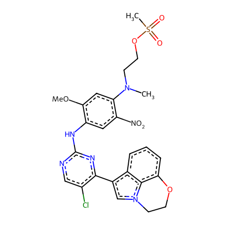 COc1cc(N(C)CCOS(C)(=O)=O)c([N+](=O)[O-])cc1Nc1ncc(Cl)c(-c2cn3c4c(cccc24)OCC3)n1